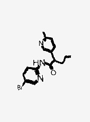 CCCC(C(=O)Nc1ccc(Br)cn1)c1ccc(C)nc1